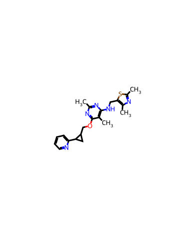 Cc1nc(NCc2sc(C)nc2C)c(C)c(OCC2CC2c2ccccn2)n1